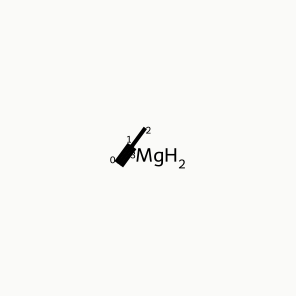 C#CC.[MgH2]